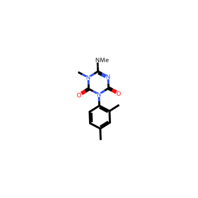 CNc1nc(=O)n(-c2ccc(C)cc2C)c(=O)n1C